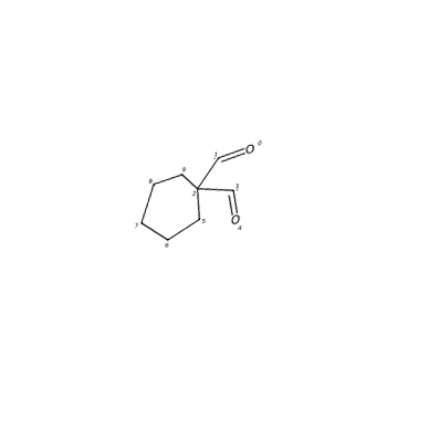 O=[C]C1([C]=O)CCCCC1